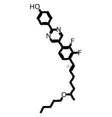 CCCCCOC(C)CCC/C=C/c1ccc(-c2cnc(-c3ccc(O)cc3)nc2)c(F)c1F